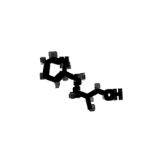 CC(CO)SSc1ccccn1